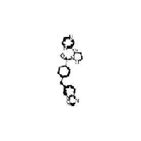 O=C([C@H]1CC[C@H](Cc2ccc3ncnn3c2)CC1)N1OCC[C@H]1c1cnccn1